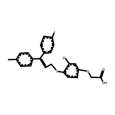 O=C(O)COc1ccc(SCC=C(c2ccc(I)cc2)c2ccc(I)cc2)c(Cl)c1